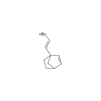 CCCCC=CC12C=CC(CC1)C2